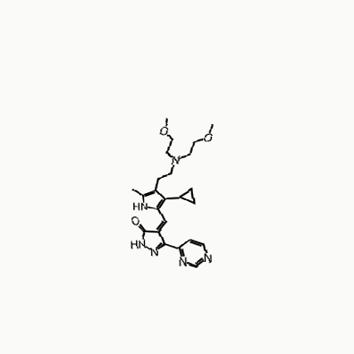 COCCN(CCOC)CCc1c(C)[nH]c(C=C2C(=O)NN=C2c2ccncn2)c1C1CC1